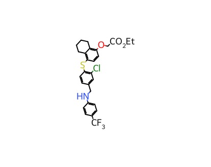 CCOC(=O)COc1ccc(Sc2ccc(CNc3ccc(C(F)(F)F)cc3)cc2Cl)c2c1CCCC2